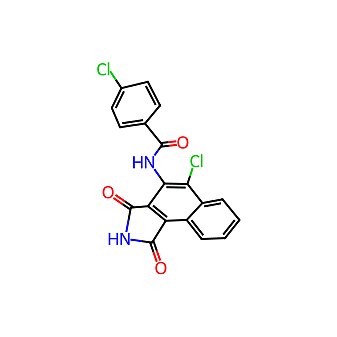 O=C(Nc1c2c(c3ccccc3c1Cl)C(=O)NC2=O)c1ccc(Cl)cc1